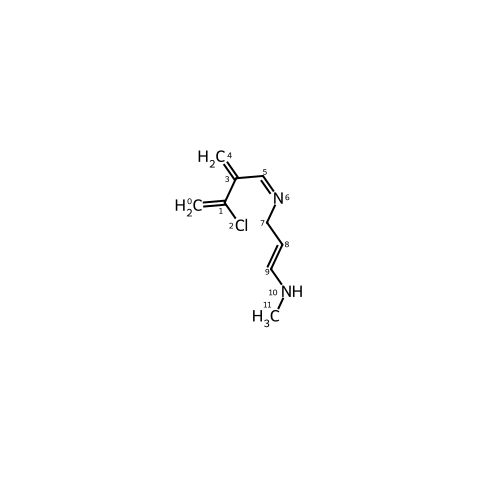 C=C(Cl)C(=C)/C=N\C/C=C/NC